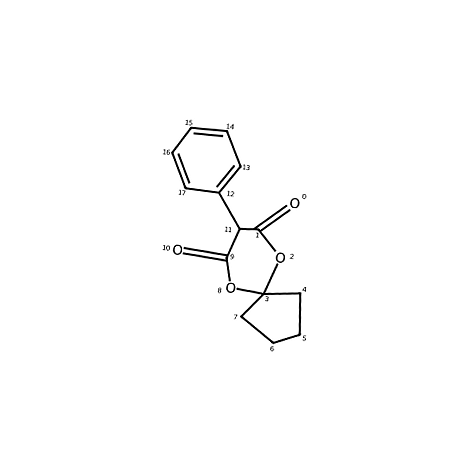 O=C1OC2(CCCC2)OC(=O)C1c1ccccc1